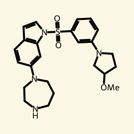 COC1CCN(c2cccc(S(=O)(=O)n3ccc4ccc(N5CCCNCC5)cc43)c2)C1